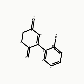 C=C1CCC(=O)C=C1c1ccccc1F